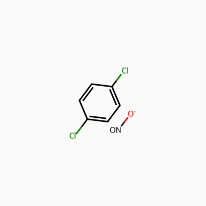 Clc1ccc(Cl)cc1.O=[NH+][O-]